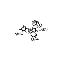 COc1c(C)cnc(Cn2nc3c4c(nc(N(C(=O)OC(C)(C)C)C(=O)OC(C)(C)C)nc42)SC(C)C(OC(C)=O)=C3)c1C